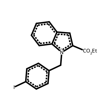 CCOC(=O)c1cc2ccccc2n1Cc1ccc(I)cc1